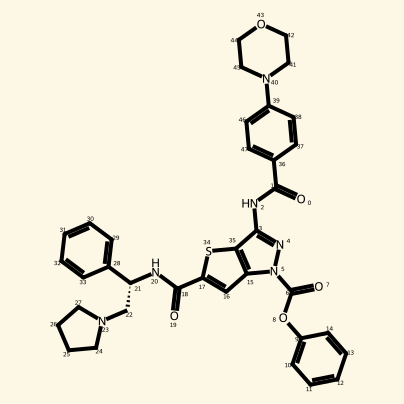 O=C(Nc1nn(C(=O)Oc2ccccc2)c2cc(C(=O)N[C@H](CN3CCCC3)c3ccccc3)sc12)c1ccc(N2CCOCC2)cc1